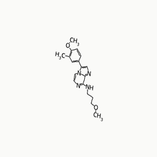 COCCCNc1nccn2c(-c3ccc(OC)c(C)c3)cnc12